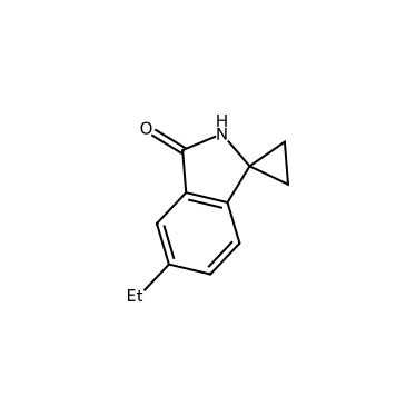 CCc1ccc2c(c1)C(=O)NC21CC1